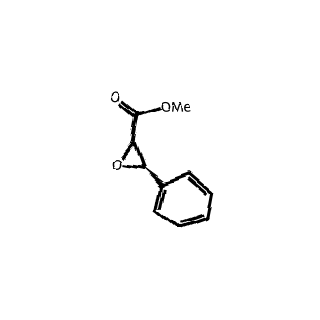 COC(=O)C1O[C@@H]1c1ccccc1